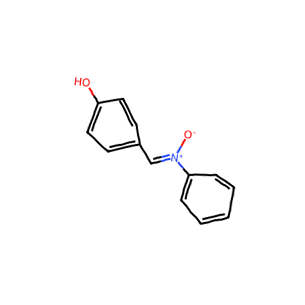 [O-]/[N+](=C\c1ccc(O)cc1)c1ccccc1